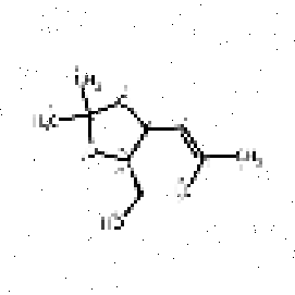 CC(C)=CC1OC(C)(C)O[C@@H]1CO